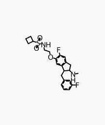 CNC1Cc2cc(F)c(OCCNS(=O)(=O)C3CCC3)cc2C1Cc1cccc(F)c1